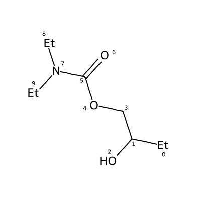 CCC(O)COC(=O)N(CC)CC